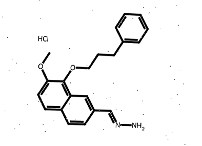 COc1ccc2ccc(C=NN)cc2c1OCCCc1ccccc1.Cl